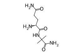 CC(C)(NC(=O)[C@@H](N)CCC(N)=O)C(N)=O